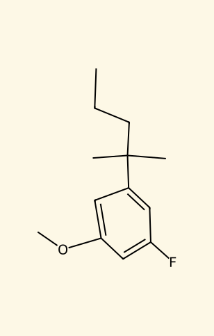 CCCC(C)(C)c1cc(F)cc(OC)c1